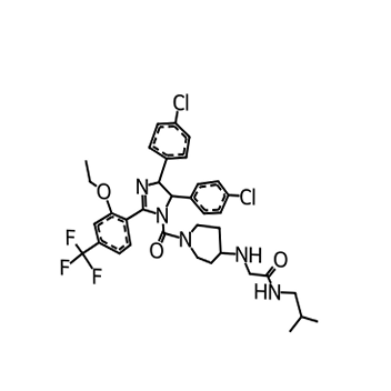 CCOc1cc(C(F)(F)F)ccc1C1=NC(c2ccc(Cl)cc2)C(c2ccc(Cl)cc2)N1C(=O)N1CCC(NCC(=O)NCC(C)C)CC1